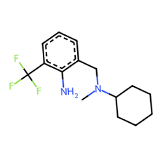 CN(Cc1cccc(C(F)(F)F)c1N)C1CCCCC1